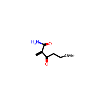 C=C(C(N)=O)C(=O)CCOC